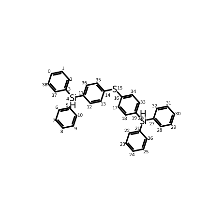 c1ccc([SiH](c2ccccc2)c2ccc(Sc3ccc([SiH](c4ccccc4)c4ccccc4)cc3)cc2)cc1